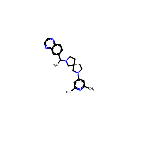 Cc1cc(N2CC[C@]3(CCN(C(C)c4ccc5nccnc5c4)C3)C2)cc(C)n1